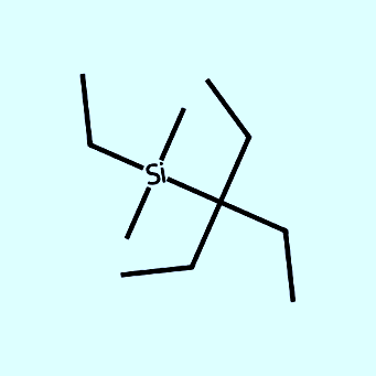 CCC(CC)(CC)[Si](C)(C)CC